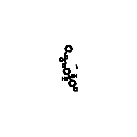 CC.O=C(COc1ccc(C(S)(S)c2ccc(Cl)cc2)cc1)OCc1ccccc1